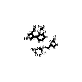 CN/C(=N\[N+](=O)[O-])NCc1cnc(Cl)s1.N#Cc1c[nH]cc1-c1cccc2c1OC(F)(F)O2